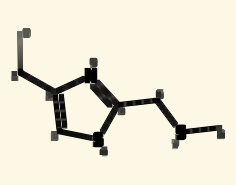 CCc1csc(CSC)n1